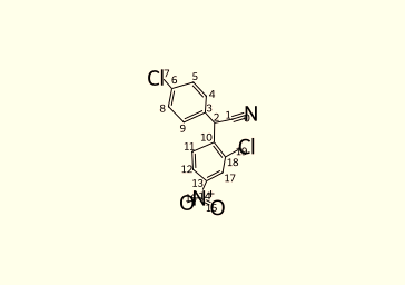 N#CC(c1ccc(Cl)cc1)c1ccc([N+](=O)[O-])cc1Cl